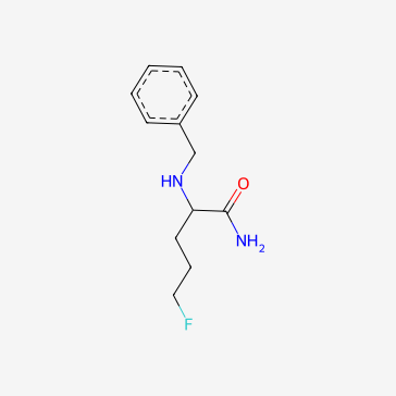 NC(=O)C(CCCF)NCc1ccccc1